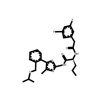 CCC[C@H](NC(=O)Cc1cc(F)cc(F)c1)C(=O)Nc1nc(C)c(-c2ccccc2COC(C)C)s1